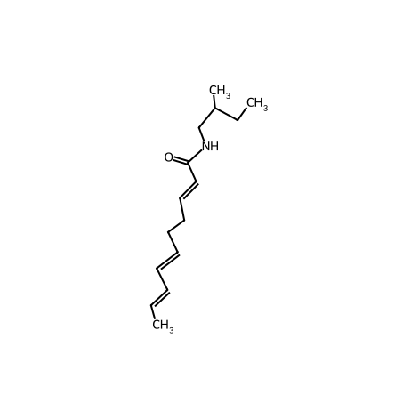 CC=CC=CCCC=CC(=O)NCC(C)CC